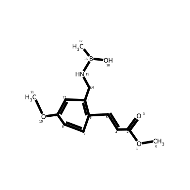 COC(=O)/C=C/c1ccc(OC)cc1CNB(C)O